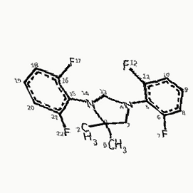 CC1(C)CN(c2c(F)cccc2F)CN1c1c(F)cccc1F